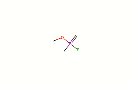 C=P(C)(F)OC